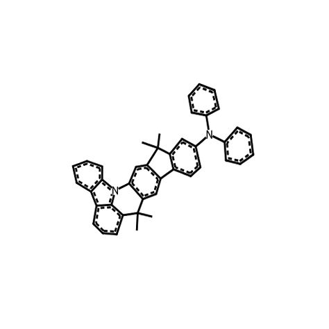 CC1(C)c2cc(N(c3ccccc3)c3ccccc3)ccc2-c2cc3c(cc21)-n1c2ccccc2c2cccc(c21)C3(C)C